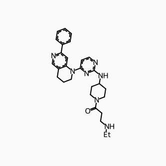 CCNCCC(=O)N1CCC(Nc2nccc(N3CCCc4cnc(-c5ccccc5)cc43)n2)CC1